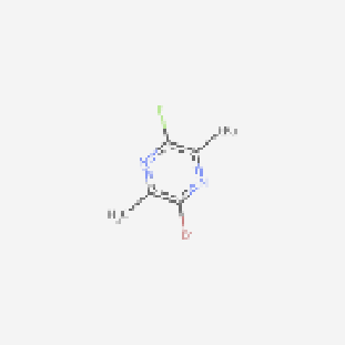 Cc1nc(F)c(C(C)(C)C)nc1Br